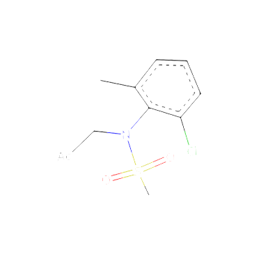 CC(=O)CN(c1c(C)cccc1Cl)S(C)(=O)=O